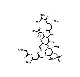 CCCCCCCCCCCC(=O)O[C@H](CCCCCCCCC)CC(=O)N[C@@H]1[C@H](OC[C@H]2O[C@@H](OP(=O)(O)O)[C@@H](NC(=O)C[C@@H](CCCCCCCCC)OC(=O)[C@@H](O)CCCCCCCCCC)[C@@H](O)[C@@H]2O)O[C@H](CO)[C@@H](OP(=O)(O)O)[C@@H]1O